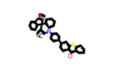 O=c1c2ccccc2sc2cc(-c3ccc(N4c5ccccc5C5(c6ccccc6-c6ccccc65)c5ccccc54)cc3)ccc12